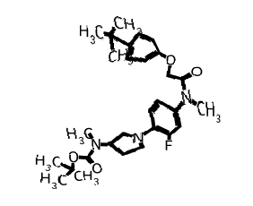 CN(C(=O)COc1ccc(C(C)(C)C)cc1)c1ccc(N2CCC(N(C)C(=O)OC(C)(C)C)C2)c(F)c1